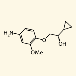 COc1cc(N)ccc1OC[C@H](O)C1CC1